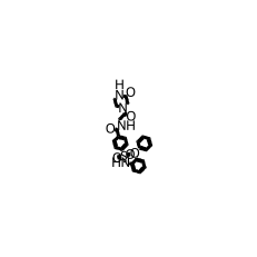 O=C1CN(C(=O)CNC(=O)c2ccc(S(=O)(=O)Nc3ccccc3Oc3ccccc3)cc2)CCN1